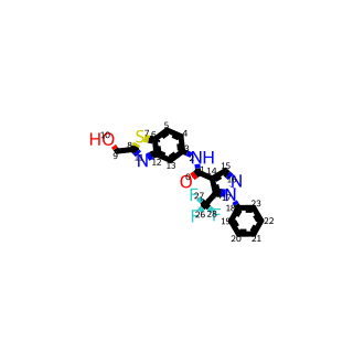 O=C(Nc1ccc2sc(CO)nc2c1)c1cnn(-c2ccccc2)c1C(F)(F)F